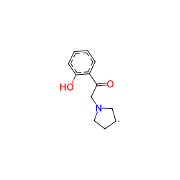 O=C(CN1C[CH]CC1)c1ccccc1O